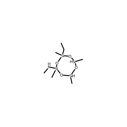 CC[Si]1(C)O[SiH](C)O[SiH](C)O[Si](C)(NC)O1